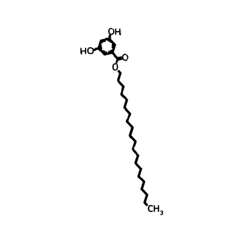 CCCCCCCCCCCCCCCCCCCCCOC(=O)c1cc(O)cc(O)c1